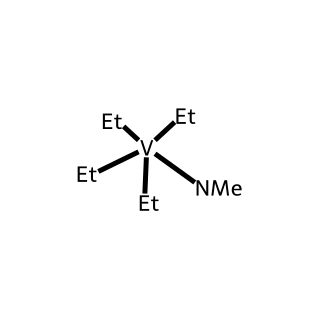 C[CH2][V]([CH2]C)([CH2]C)([CH2]C)[NH]C